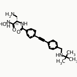 CC(C)(C)NCc1ccc(C#Cc2ccc(C(=O)N[C@@H](CN)C(=O)NO)cc2)cc1